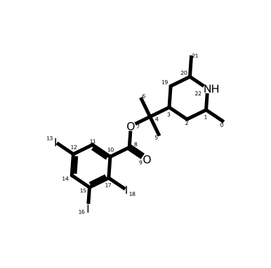 CC1CC(C(C)(C)OC(=O)c2cc(I)cc(I)c2I)CC(C)N1